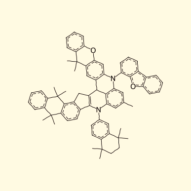 Cc1cc2c3c(c1)N(c1cccc4c1oc1ccccc14)c1cc4c(cc1C3C1=C(c3ccc5c(c3C1)C(C)(C)c1ccccc1C5(C)C)N2c1ccc2c(c1)C(C)(C)CCC2(C)C)C(C)(C)c1ccccc1O4